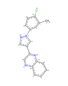 Cc1cc(-n2cc(-c3cnc4ccccc4n3)cn2)ccc1Cl